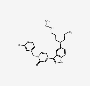 CCCN(CCCNOC)c1cnc2[nH]cc(-c3ccn(Cc4cccc(Cl)c4)c(=O)c3)c2c1